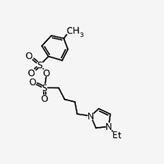 CCN1C=CN(CCCCS(=O)(=O)OS(=O)(=O)c2ccc(C)cc2)C1